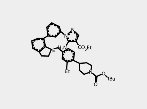 CCOC(=O)c1cnn(-c2cccc(-c3cccc4c3[C@@H](Cc3ccc(C5CCN(C(=O)OC(C)(C)C)CC5)c(CC)c3)CC4)c2)c1N